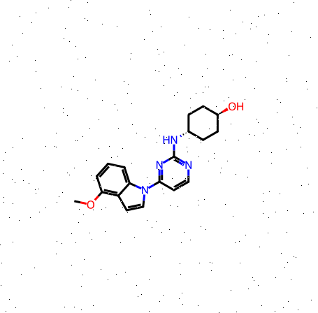 COc1cccc2c1ccn2-c1ccnc(N[C@H]2CC[C@H](O)CC2)n1